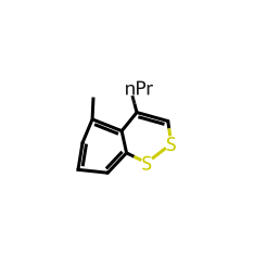 CCCC1=CSSc2cccc(C)c21